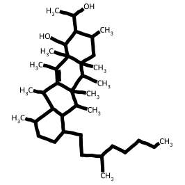 CCCCCC(C)CCC1CCC(C)C2C(C)C3=C(C)C4(C)C(O)C(C(C)O)C(C)CC4(C)C(C)C3(C)C(C)C12